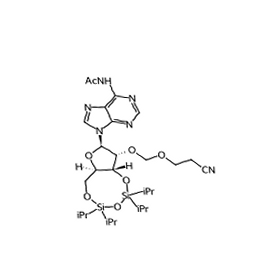 CC(=O)Nc1ncnc2c1ncn2[C@@H]1O[C@@H]2CO[Si](C(C)C)(C(C)C)O[Si](C(C)C)(C(C)C)O[C@H]2[C@H]1OCOCCC#N